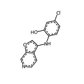 Oc1cc(Cl)ccc1Nc1coc2cnccc12